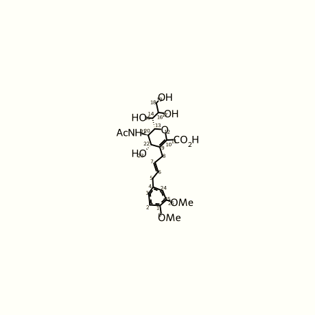 COc1ccc(CC=CCC2=C(C(=O)O)O[C@@H](C(O)C(O)CO)[C@H](NC(C)=O)[C@H]2O)cc1OC